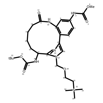 COC(=O)Nc1ccc2c(c1)NC(=O)CCCCC(NC(=O)OC(C)(C)C)c1nc-2cn1COCC[Si](C)(C)C